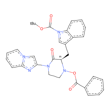 CC(C)(C)OC(=O)n1cc(C[C@@H]2C(=O)N(c3cn4ccccc4n3)CCN2OC(=O)c2ccccc2)c2ccccc21